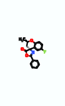 C[C@@H]1C[C@@]2(N=C(c3ccccc3)OC2=O)c2cc(F)ccc2O1